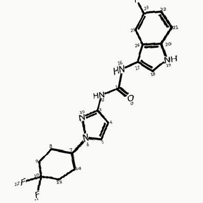 O=C(Nc1ccn(C2CCC(F)(F)CC2)n1)Nc1c[nH]c2ccc(F)cc12